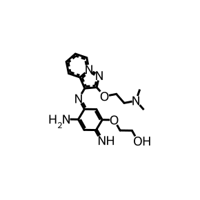 CN(C)CCOc1nn2ccccc2c1/N=C1\C=C(OCCO)C(=N)C=C1N